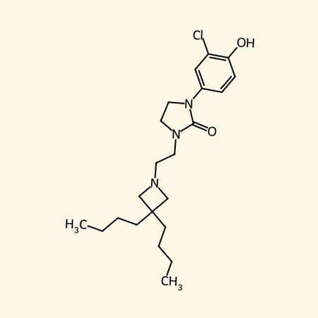 CCCCC1(CCCC)CN(CCN2CCN(c3ccc(O)c(Cl)c3)C2=O)C1